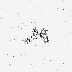 CC(C)(C)OC(=O)Cn1cnc2c(-n3nc(-c4cccnc4)c4ccccc43)nc(Cl)nc21